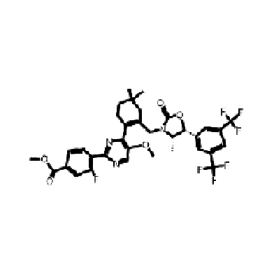 COC(=O)c1ccc(-c2ncc(OC)c(C3=C(CN4C(=O)O[C@H](c5cc(C(F)(F)F)cc(C(F)(F)F)c5)[C@@H]4C)CC(C)(C)CC3)n2)c(F)c1